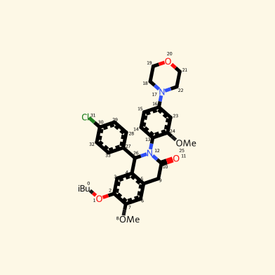 CCC(C)Oc1cc2c(cc1OC)CC(=O)N(c1ccc(N3CCOCC3)cc1OC)C2c1ccc(Cl)cc1